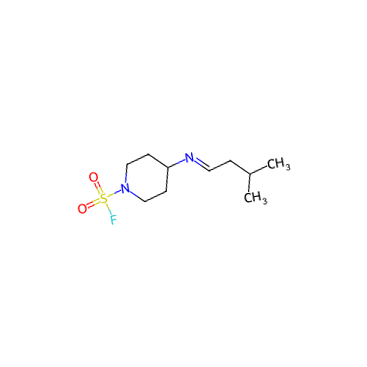 CC(C)CC=NC1CCN(S(=O)(=O)F)CC1